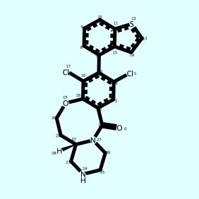 O=C1c2cc(Cl)c(-c3cccc4sccc34)c(Cl)c2OCC[C@H]2CNCCN12